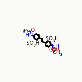 CC(C)C(=O)Nc1ccc(C=Cc2ccc(NS(C)(=O)=O)cc2S(=O)(=O)O)c(S(=O)(=O)O)c1